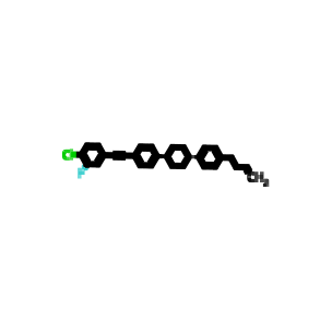 C=CCCc1ccc([C@H]2CC[C@H](c3ccc(C#Cc4ccc(Cl)c(F)c4)cc3)CC2)cc1